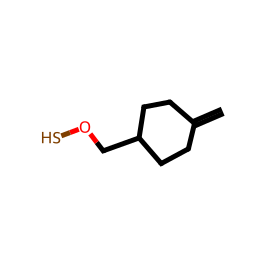 C=C1CCC(COS)CC1